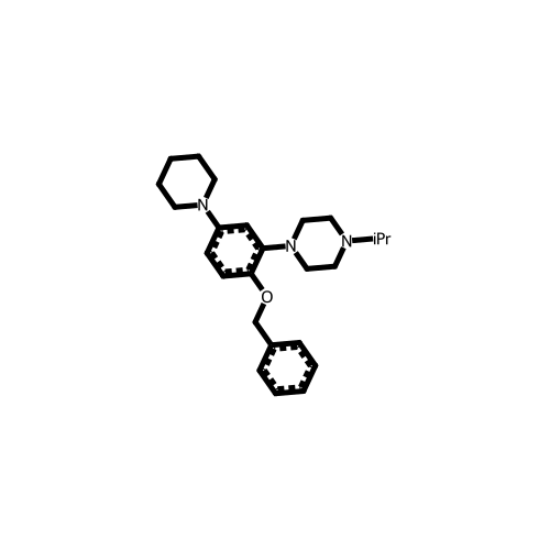 CC(C)N1CCN(c2cc(N3CCCCC3)ccc2OCc2ccccc2)CC1